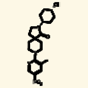 Cc1cc([N+](=O)[O-])cnc1N1CCC2(CC1)CCN([C@H]1CC[C@@H](O)CC1)C2=O